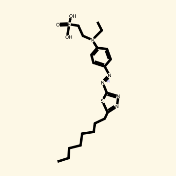 CCCCCCCCc1nnc(/N=N/c2ccc(N(CC)CCP(=O)(O)O)cc2)s1